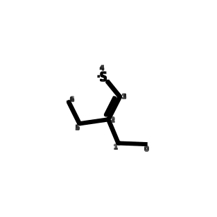 CCC(=C[S])CC